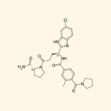 Cc1cc(C(=O)N[C@@H](CCC(=O)N2CCC[C@@H]2C(N)=O)c2nc3ccc(Cl)cc3[nH]2)ccc1C(=O)N1CCCC1